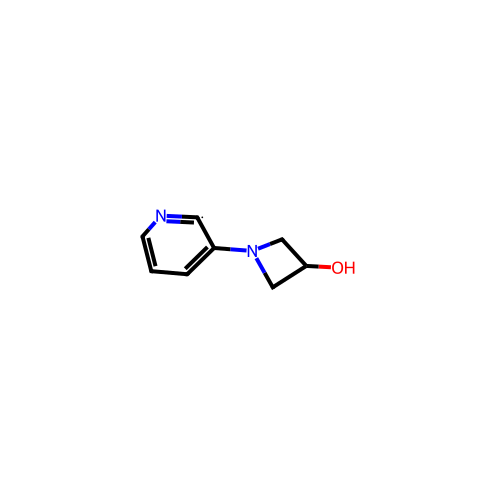 OC1CN(c2[c]nccc2)C1